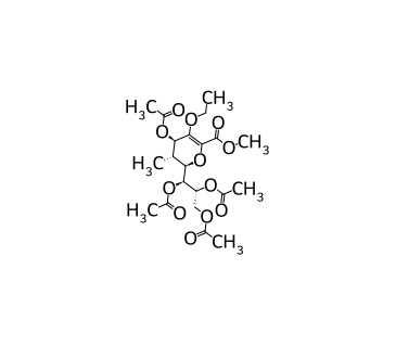 CCOC1=C(C(=O)OC)O[C@@H]([C@H](OC(C)=O)[C@@H](COC(C)=O)OC(C)=O)[C@H](C)[C@H]1OC(C)=O